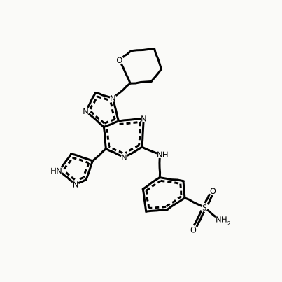 NS(=O)(=O)c1cccc(Nc2nc(-c3cn[nH]c3)c3ncn(C4CCCCO4)c3n2)c1